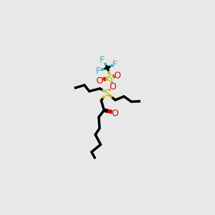 CCCCCCC(=O)CS(CCCC)(CCCC)OS(=O)(=O)C(F)(F)F